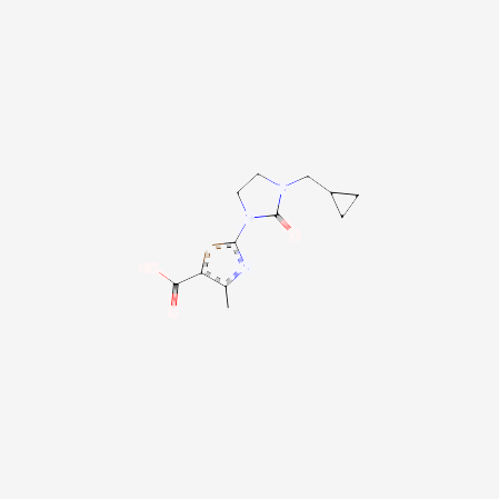 Cc1nc(N2CCN(CC3CC3)C2=O)sc1C(=O)O